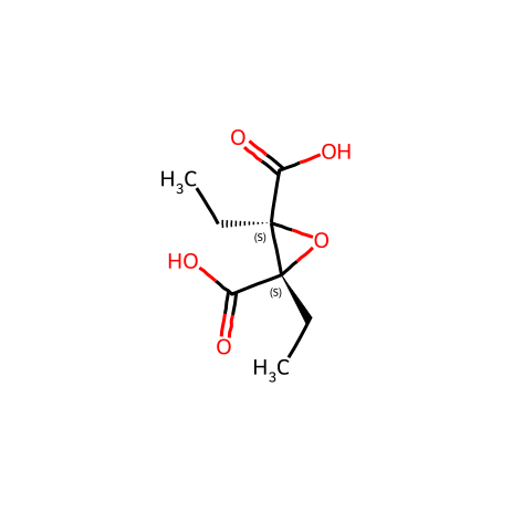 CC[C@]1(C(=O)O)O[C@]1(CC)C(=O)O